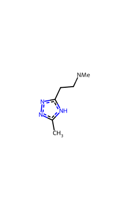 CNCCc1nnc(C)[nH]1